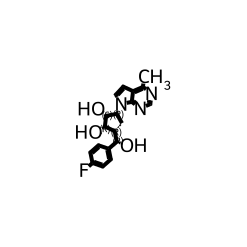 Cc1ncnc2c1ccn2[C@@H]1C[C@H]([C@@H](O)c2ccc(F)cc2)[C@@H](O)[C@H]1O